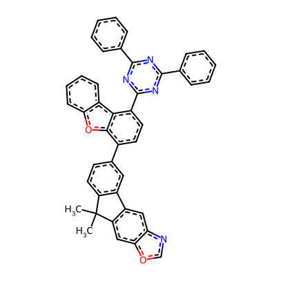 CC1(C)c2ccc(-c3ccc(-c4nc(-c5ccccc5)nc(-c5ccccc5)n4)c4c3oc3ccccc34)cc2-c2cc3ncoc3cc21